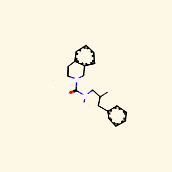 CCOC(=O)C(Cc1ccccc1)CN(C)C(=O)N1Cc2ccccc2C[C@H]1C(=O)O